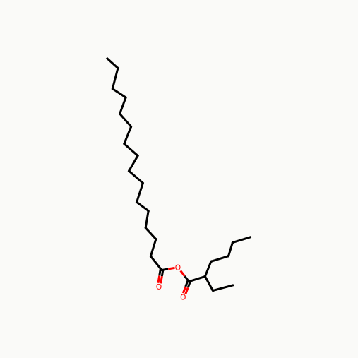 CCCCCCCCCCCCCCCC(=O)OC(=O)C(CC)CCCC